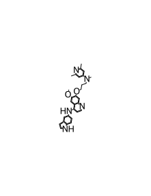 COc1cc2c(Nc3ccc4[nH]ccc4c3)ccnc2cc1OCCCN(C)c1cc(C)nc(C)c1